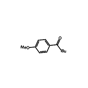 CCC(C)C(=O)c1ccc(OC)cc1